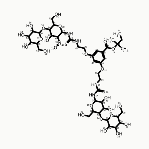 CCC(C)(C)OC(=O)c1cc(OCCNC(=S)NC2OC(CO)C(OC3OC(CO)C(O)C(O)C3O)C(O)C2O)cc(OCCNC(=S)NC2OC(CO)C(OC3OC(CO)C(O)C(O)C3O)C(O)C2N=O)c1